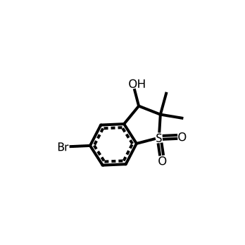 CC1(C)C(O)c2cc(Br)ccc2S1(=O)=O